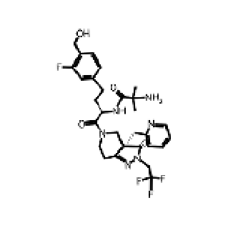 CC(C)(N)C(=O)N[C@H](CCc1ccc(CO)c(F)c1)C(=O)N1CCC2=NN(CC(F)(F)F)C(=O)[C@]2(Cc2ccccn2)C1